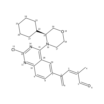 C=C(/C=C(/C)C=O)c1ccc2nc(Cl)nc(N3CCOC[C@@H]3C3CCCCC3)c2c1